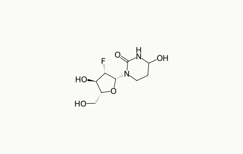 O=C1NC(O)CCN1[C@@H]1O[C@H](CO)[C@@H](O)[C@@H]1F